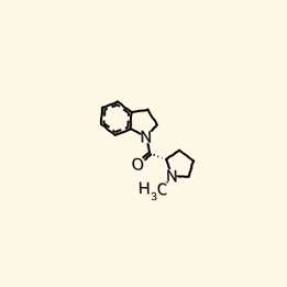 CN1CCC[C@H]1C(=O)N1CCc2ccccc21